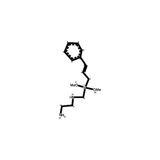 CO[Si](CC=Cc1ccccc1)(CNCCN)OC